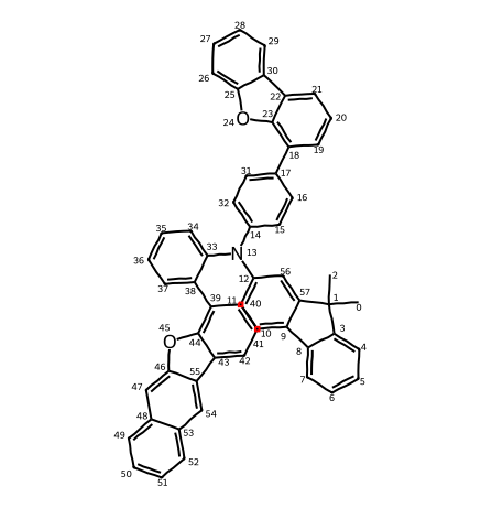 CC1(C)c2ccccc2-c2ccc(N(c3ccc(-c4cccc5c4oc4ccccc45)cc3)c3ccccc3-c3cccc4c3oc3cc5ccccc5cc34)cc21